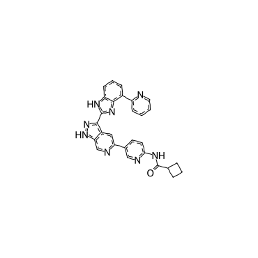 O=C(Nc1ccc(-c2cc3c(-c4nc5c(-c6ccccn6)cccc5[nH]4)n[nH]c3cn2)cn1)C1CCC1